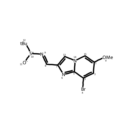 COc1cc(Br)c2nc(C=N[S+]([O-])C(C)(C)C)cn2c1